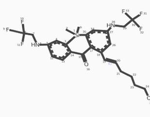 C[Si]1(C)c2cc(NCC(F)(F)F)ccc2C(=O)c2c(/C=C/CCCCO)cc(NCC(F)(F)F)cc21